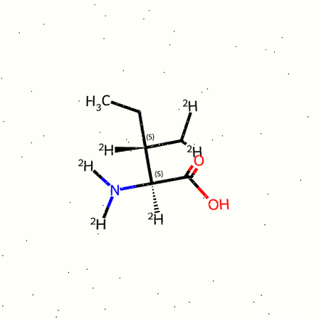 [2H]C([2H])[C@@]([2H])(CC)[C@@]([2H])(C(=O)O)N([2H])[2H]